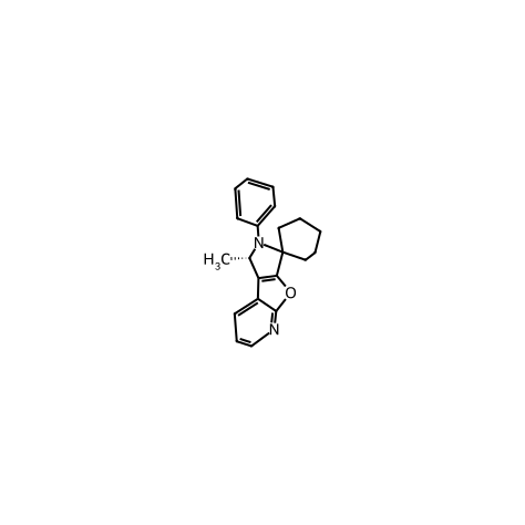 C[C@H]1c2c(oc3ncccc23)C2(CCCCC2)N1c1ccccc1